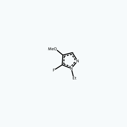 CCn1n[c]c(OC)c1F